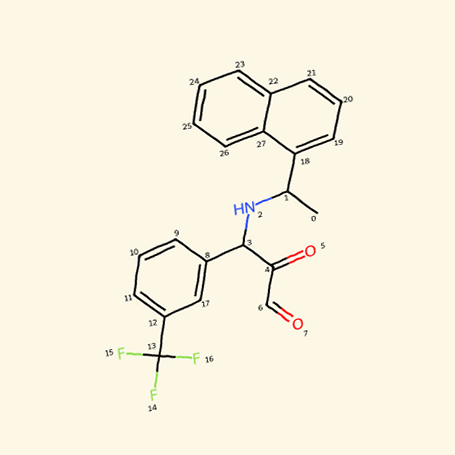 CC(NC(C(=O)C=O)c1cccc(C(F)(F)F)c1)c1cccc2ccccc12